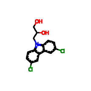 OCC(O)Cn1c2ccc(Cl)cc2c2cc(Cl)ccc21